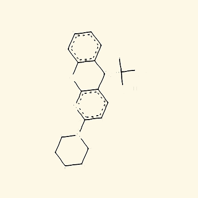 CC(C)(C(=O)O)[C@H]1c2ccccc2Oc2nc(N3CCCCC3)ccc21